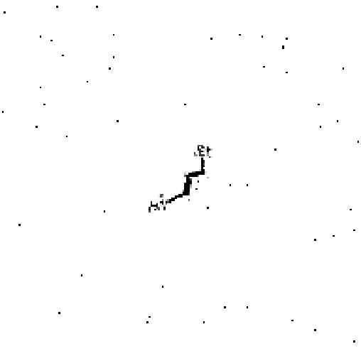 [CH2]CCC=C[NH]